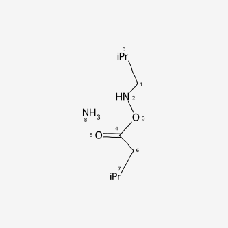 CC(C)CNOC(=O)CC(C)C.N